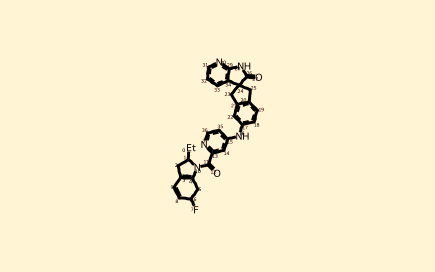 CCC1CC2=C(CC(F)C=C2)N1C(=O)c1cc(Nc2ccc3c(c2)CC2(C3)C(=O)Nc3ncccc32)ccn1